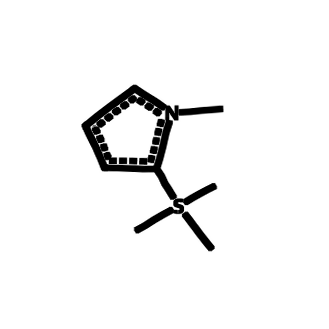 Cn1cccc1S(C)(C)C